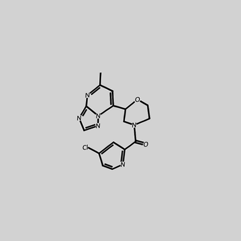 Cc1cc(C2CN(C(=O)c3cc(Cl)ccn3)CCO2)n2ncnc2n1